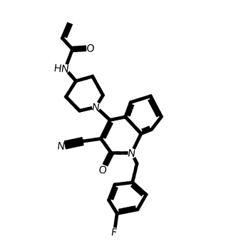 C=CC(=O)NC1CCN(c2c(C#N)c(=O)n(Cc3ccc(F)cc3)c3ccccc23)CC1